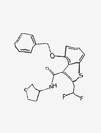 O=C(NC1CCOC1)c1c(C(F)F)sc2cccc(OCc3ccccc3)c12